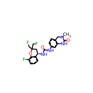 CN1Cc2ccc(NC(=O)N[C@@H]3CC(CF)(CF)Oc4c(F)cccc43)cc2NC1=O